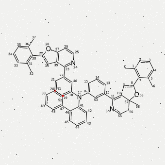 Cc1cccc(C)c1C1=CC2=C(c3cccc(N(c4cccc(-c5nccc6oc(-c7c(C)cccc7C)cc56)c4)c4ccccc4-c4ccccc4)c3)N=CCC2(C)O1